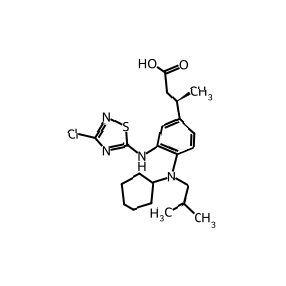 CC(C)CN(c1ccc([C@H](C)CC(=O)O)cc1Nc1nc(Cl)ns1)C1CCCCC1